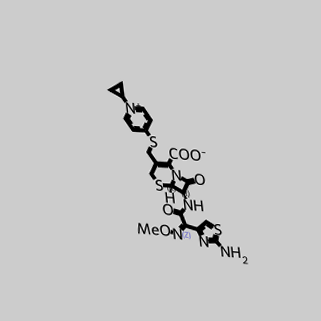 CO/N=C(\C(=O)N[C@@H]1C(=O)N2C(C(=O)[O-])=C(CSc3cc[n+](C4CC4)cc3)CS[C@H]12)c1csc(N)n1